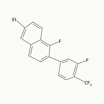 CCc1ccc2c(F)c(-c3ccc(C(F)(F)F)c(F)c3)ccc2c1